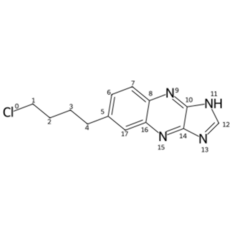 ClCCCCc1ccc2nc3[nH]cnc3nc2c1